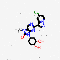 Cn1c(=O)n([C@@H]2CC[C@@H](O)[C@@H](O)C2)c2nc(-c3cnn4ccc(Cl)cc34)ncc21